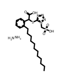 CCCCCCCCCCCCc1ccccc1C(Sc1nnnn1CS(=O)(=O)O)C(=O)O.N.N